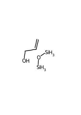 C=CCO.[SiH3]O[SiH3]